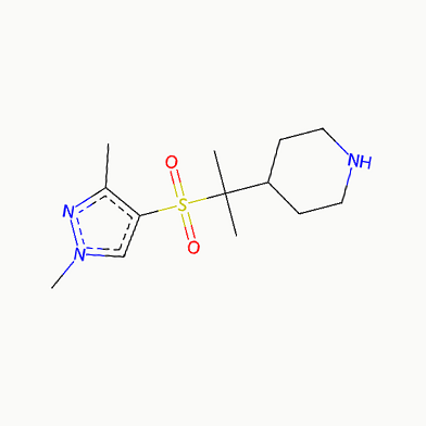 Cc1nn(C)cc1S(=O)(=O)C(C)(C)C1CCNCC1